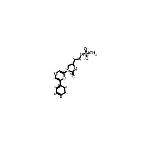 CS(=O)(=O)OCCC1CN(C2=COC=C(C3=CC=CCC3)O2)C(=O)O1